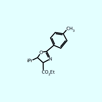 CCOC(=O)C1N=C(c2ccc(C)cc2)OC1C(C)C